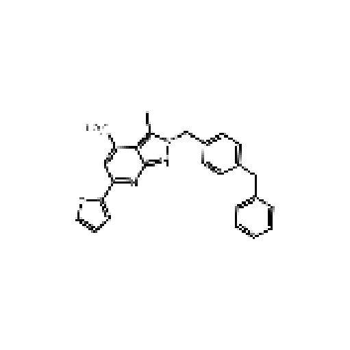 Cc1c2c(C(=O)O)cc(-c3ccco3)nc2nn1Cc1ccc(Cc2ccccc2)cc1